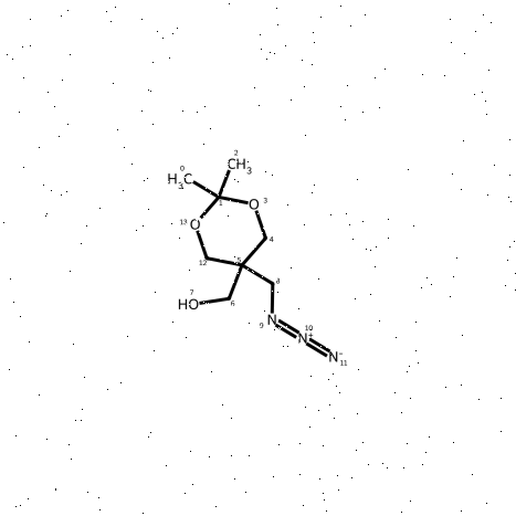 CC1(C)OCC(CO)(CN=[N+]=[N-])CO1